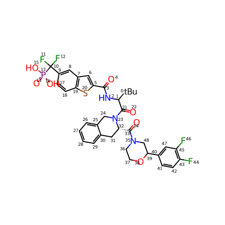 CC(C)(C)C(NC(=O)c1cc2cc(C(F)(F)P(=O)(O)O)ccc2s1)C(=O)N1Cc2ccccc2C[C@H]1C(=O)N1CCOC(c2ccc(F)c(F)c2)C1